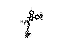 Cc1c(C(N)COCCCO[N+](=O)[O-])cc(-c2ccc(S(C)(=O)=O)cc2)n1-c1ccc(F)cc1